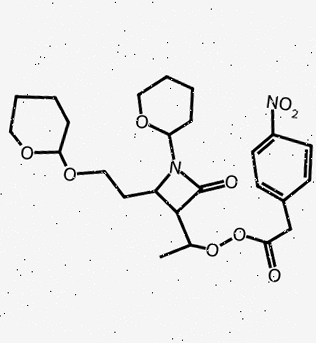 CC(OOC(=O)Cc1ccc([N+](=O)[O-])cc1)C1C(=O)N(C2CCCCO2)C1CCOC1CCCCO1